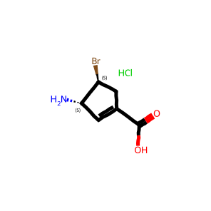 Cl.N[C@H]1C=C(C(=O)O)C[C@@H]1Br